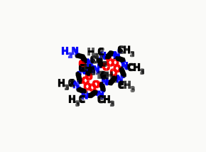 CC(C)NC(=O)CN(C)C(=O)CN(C)C(=O)CN(C)C(=O)CN(C)C(=O)CN(C)C(=O)CN(C)C(=O)CN(C)C(=O)CN(C)C(=O)CN(C)C(=O)CN(C)C(=O)CCN